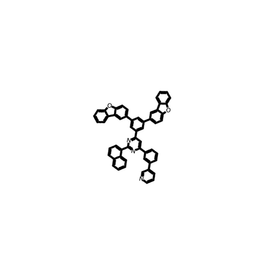 c1cncc(-c2cccc(-c3cc(-c4cc(-c5ccc6oc7ccccc7c6c5)cc(-c5ccc6oc7ccccc7c6c5)c4)nc(-c4cccc5ccccc45)n3)c2)c1